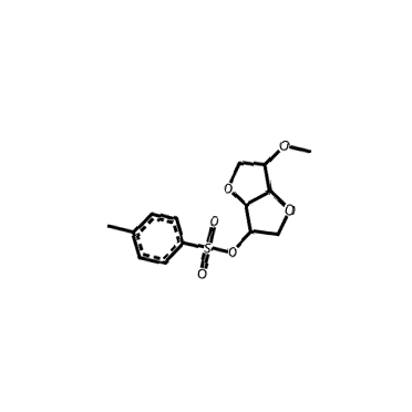 COC1COC2C(OS(=O)(=O)c3ccc(C)cc3)COC12